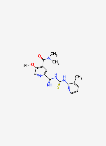 Cc1cccnc1NC(=S)NC(=N)c1cc(C(=O)N(C)C)c(OC(C)C)cn1